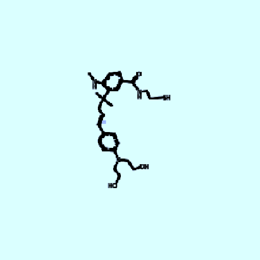 CNc1ccc(C(=O)NCCS)cc1C(C)(C)C/C=C/c1ccc(N(CCO)CCO)cc1